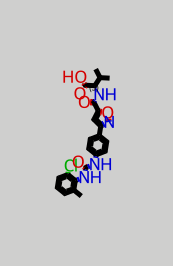 Cc1cccc(Cl)c1NC(=O)Nc1ccc(-c2cc(C(=O)N[C@H](C(=O)O)C(C)C)on2)cc1